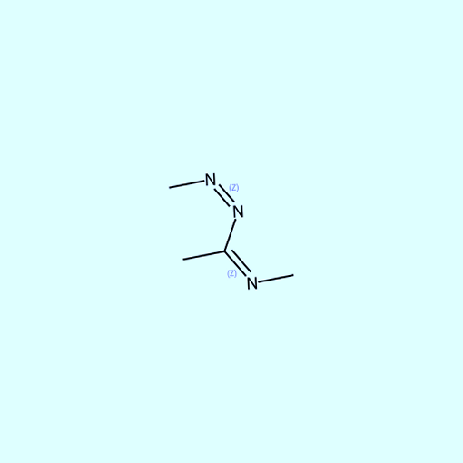 C/N=N\C(C)=N/C